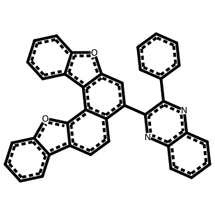 c1ccc(-c2nc3ccccc3nc2-c2cc3oc4ccccc4c3c3c2ccc2c4ccccc4oc23)cc1